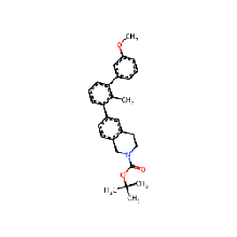 COc1cccc(-c2cccc(-c3ccc4c(c3)CCN(C(=O)OC(C)(C)C)C4)c2C)c1